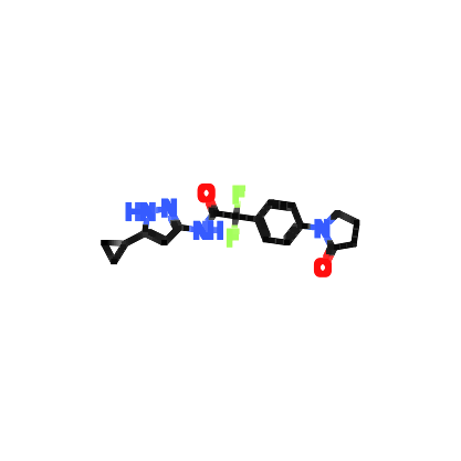 O=C1CCCN1c1ccc(C(F)(F)C(=O)Nc2cc(C3CC3)[nH]n2)cc1